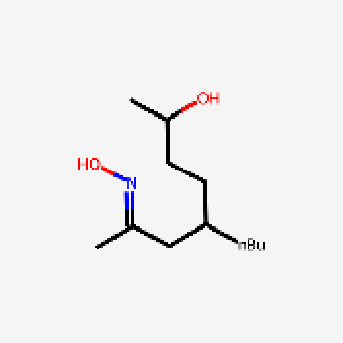 CCCCC(CCC(C)O)CC(C)=NO